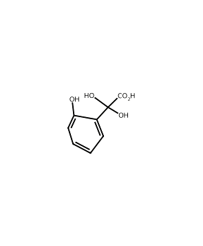 O=C(O)C(O)(O)c1ccccc1O